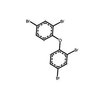 Brc1[c]c(Br)c(Oc2[c]cc(Br)[c]c2Br)[c]c1